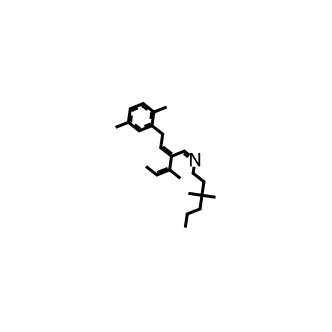 C/C=C(/C)C(=CCc1cc(C)ccc1C)/C=N\CCC(C)(C)CCC